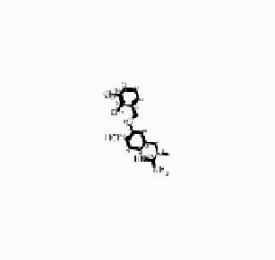 CN(Cc1cccc(OCc2cccc(Cl)c2Cl)c1)C(=N)N.Cl